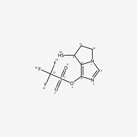 O=S(=O)(Oc1ncn2c1C(S)CC2)C(F)(F)F